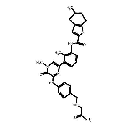 Cc1c(NC(=O)c2cc3c(s2)CCC(C)C3)cccc1-c1cn(C)c(=O)c(Nc2ccc(CNCC(N)=O)cc2)n1